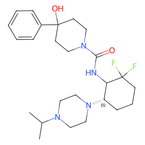 CC(C)N1CCN([C@H]2CCCC(F)(F)C2NC(=O)N2CCC(O)(c3ccccc3)CC2)CC1